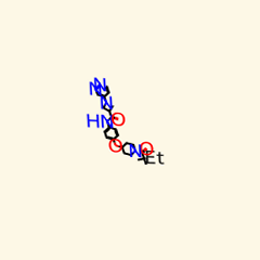 CCC(C)(C)C(=O)N1CCC(Oc2ccc(NC(=O)C3CN(c4ccnnc4)C3)cc2)CC1